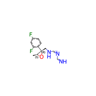 C[C@@H]1O[C@@]1(CN/C=N\C=N)c1ccc(F)cc1F